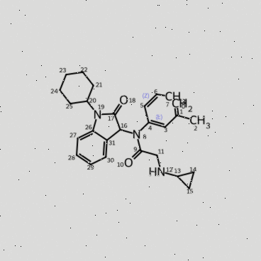 C=C(C)/C=C(\C=C/C)N(C(=O)CNC1CC1)C1C(=O)N(C2CCCCC2)c2ccccc21